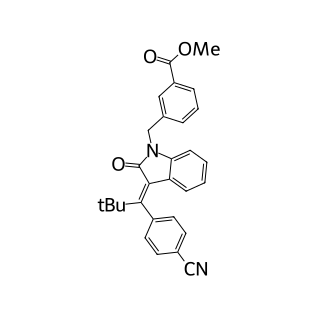 COC(=O)c1cccc(CN2C(=O)/C(=C(/c3ccc(C#N)cc3)C(C)(C)C)c3ccccc32)c1